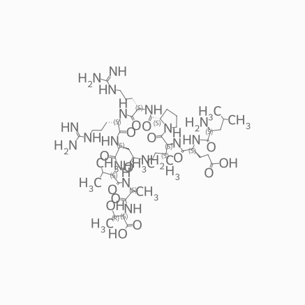 CC[C@H](C)[C@H](NC(=O)[C@H](CCC(=O)O)NC(=O)[C@@H](N)CC(C)C)C(=O)N1CCC[C@H]1C(=O)N[C@@H](CCCNC(=N)N)C(=O)N[C@@H](CCCNC(=N)N)C(=O)N[C@@H](CC(N)=O)C(=O)N[C@H](C(=O)N[C@@H](C)C(=O)N[C@H](C(=O)O)[C@@H](C)O)C(C)C